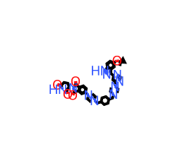 CC1(Oc2ccc3[nH]nc(-c4cc(N5CCN(CC6CCC(CN7CCN(c8ccc9c(c8)C(=O)N(C8CCC(=O)NC8=O)C9=O)CC7)CC6)CC5)ncn4)c3c2)CC1